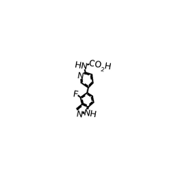 O=C(O)Nc1ccc(-c2ccc3[nH]ncc3c2F)cn1